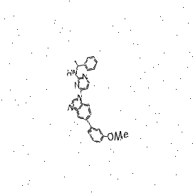 COc1cccc(-c2ccc3c(c2)ncn3-c2ccnc(N[C@@H](C)c3ccccc3)n2)c1